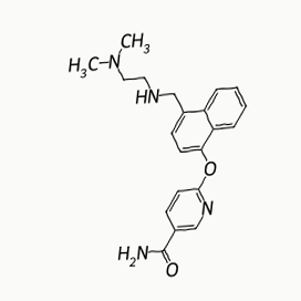 CN(C)CCNCc1ccc(Oc2ccc(C(N)=O)cn2)c2ccccc12